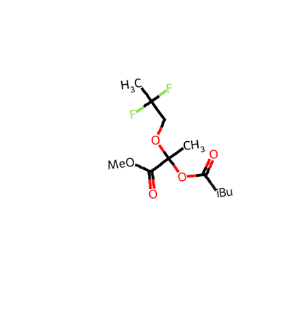 CCC(C)C(=O)OC(C)(OCC(C)(F)F)C(=O)OC